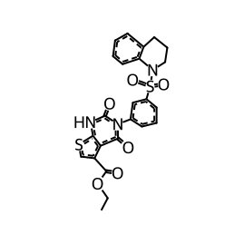 CCOC(=O)c1csc2[nH]c(=O)n(-c3cccc(S(=O)(=O)N4CCCc5ccccc54)c3)c(=O)c12